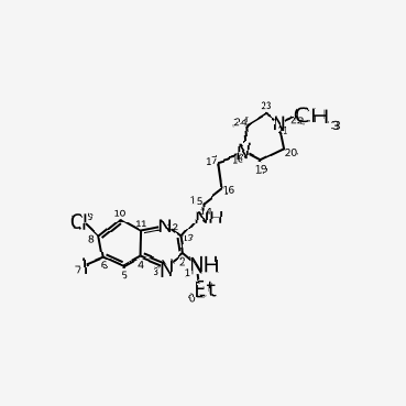 CCNc1nc2cc(I)c(Cl)cc2nc1NCCCN1CCN(C)CC1